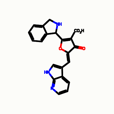 O=C(O)C1=C(C2NCc3ccccc32)OC(=Cc2c[nH]c3ncccc23)C1=O